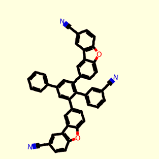 N#Cc1cccc(-c2c(-c3ccc4oc5ccc(C#N)cc5c4c3)cc(-c3ccccc3)cc2-c2ccc3oc4ccc(C#N)cc4c3c2)c1